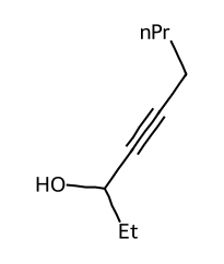 CCCCC#CC(O)CC